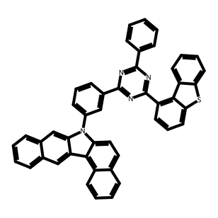 c1ccc(-c2nc(-c3cccc(-n4c5cc6ccccc6cc5c5c6ccccc6ccc54)c3)nc(-c3cccc4sc5ccccc5c34)n2)cc1